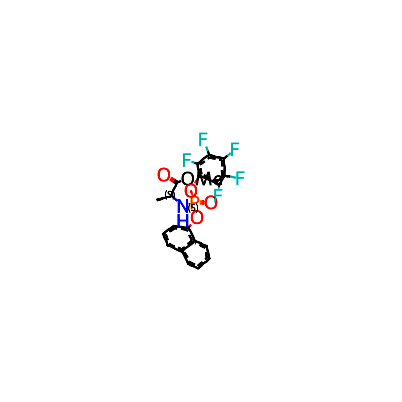 COC(=O)[C@H](C)N[P@@](=O)(Oc1c(F)c(F)c(F)c(F)c1F)Oc1cccc2ccccc12